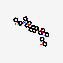 c1ccc(-c2ccccc2N(c2ccc(-c3ccc4ccc5c(-c6ccc(N(c7ccc8oc9ccccc9c8c7)c7ccccc7-c7ccccc7)cc6)ccc6ccc3c4c65)cc2)c2ccc3oc4ccccc4c3c2)cc1